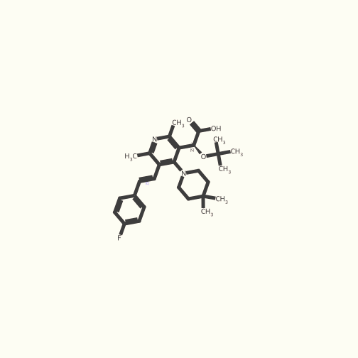 Cc1nc(C)c([C@H](OC(C)(C)C)C(=O)O)c(N2CCC(C)(C)CC2)c1/C=C/c1ccc(F)cc1